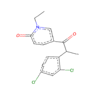 CCn1cc(C(=O)C(C)c2ccc(Cl)cc2Cl)ccc1=O